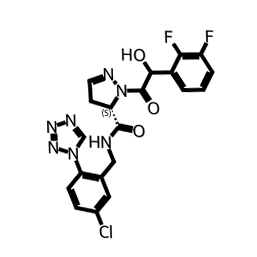 O=C(NCc1cc(Cl)ccc1-n1cnnn1)[C@@H]1CC=NN1C(=O)C(O)c1cccc(F)c1F